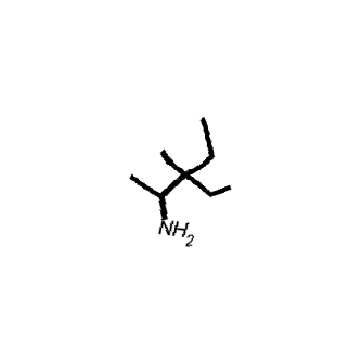 CCC(C)(CC)C(C)N